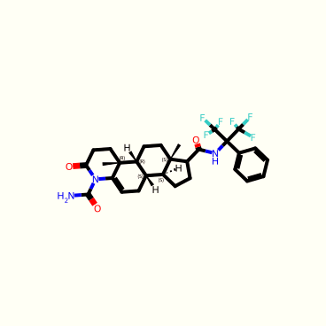 C[C@]12CCC(=O)N(C(N)=O)C1=CC[C@@H]1[C@H]2CC[C@]2(C)C(C(=O)NC(c3ccccc3)(C(F)(F)F)C(F)(F)F)CC[C@@H]12